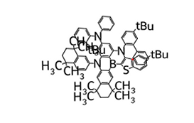 CC(C)(C)c1ccc(N2c3cc(N(c4ccccc4)c4ccccc4C(C)(C)C)cc4c3B(c3cc5c(cc3N4c3ccc4c(c3)C(C)(C)CCC4(C)C)C(C)(C)CCC5(C)C)c3sc4ccc(C(C)(C)C)cc4c32)c(-c2ccccc2)c1